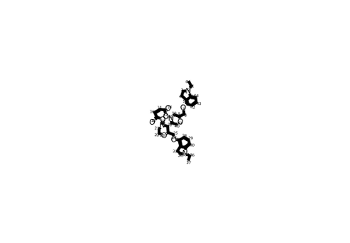 CCN1CCc2c(OCC3CN(OC(=O)/C=C\C(=O)ON4CCOC(COc5cccc6c5CCN6CC)C4)CCO3)cccc21